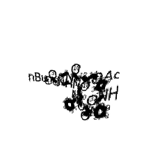 CCCCOC(=O)ON1CCN(C(=O)[C@H](CCCOC(C)=O)NC(=O)c2cc(OCC(=O)N3CCC[C@H]3C(=O)NC3CCC3)n(-c3ccccc3)n2)CC1